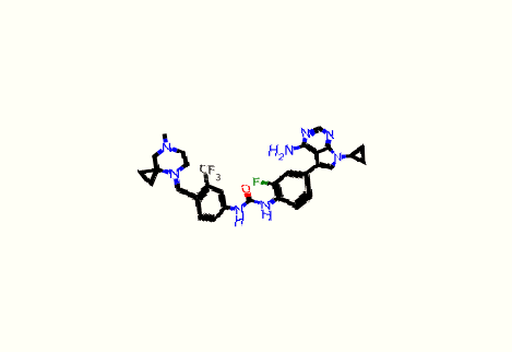 CN1CCN(Cc2ccc(NC(=O)Nc3ccc(-c4cn(C5CC5)c5ncnc(N)c45)cc3F)cc2C(F)(F)F)C2(CC2)C1